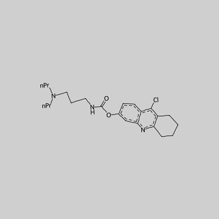 CCCN(CCC)CCCNC(=O)Oc1ccc2c(Cl)c3c(nc2c1)CCCC3